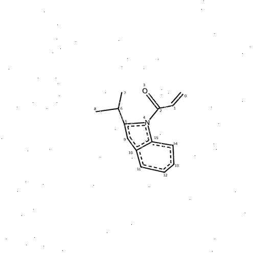 C=CC(=O)n1c(C(C)C)cc2ccccc21